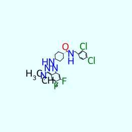 CN(C)c1nc(N[C@H]2CC[C@@H](C(=O)NCc3ccc(Cl)cc3Cl)CC2)nc2cc(F)c(F)cc12